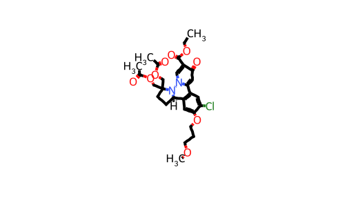 CCOC(=O)c1cn2c(cc1=O)-c1cc(Cl)c(OCCCOC)cc1[C@H]1CCC(COC(C)=O)(COC(C)=O)N12